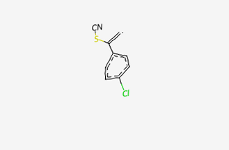 [CH]=C(SC#N)c1ccc(Cl)cc1